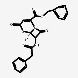 O=C(Cc1ccccc1)N[C@@H]1C(=O)N2C(C(=O)OCc3ccccc3)=CC(=O)S[C@H]12